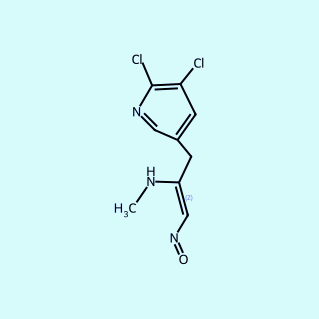 CN/C(=C\N=O)Cc1cnc(Cl)c(Cl)c1